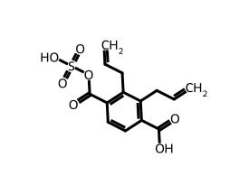 C=CCc1c(C(=O)O)ccc(C(=O)OS(=O)(=O)O)c1CC=C